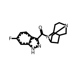 O=C(c1n[nH]c2cc(F)ccc12)N1C2CC3CN(CCC31)C2